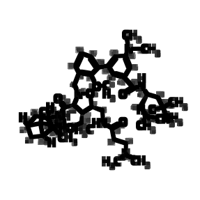 COc1c(CN2O[C@@H](CNC(=O)CCN(C)C)[C@@H]([C@H](C)O)[C@H]2C(=O)N[C@H]2C[C@H]3C[C@@H]([C@@H]2C)C3(C)C)cccc1-c1cc(C(=O)N[C@H](CN(C)C)CC(C)(C)C)cc(N(C)C)c1